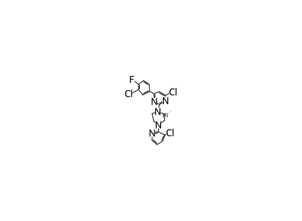 C[C@@H]1CN(c2ncccc2Cl)CCN1c1nc(Cl)cc(-c2ccc(F)c(Cl)c2)n1